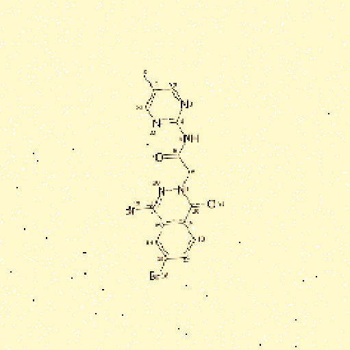 Cc1cnc(NC(=O)Cn2nc(Br)c3cc(Br)ccc3c2=O)nc1